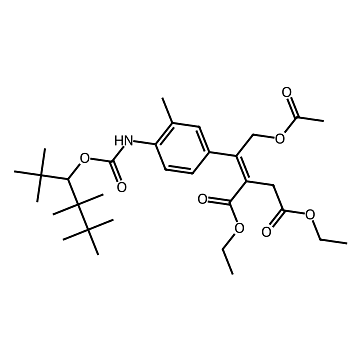 CCOC(=O)CC(C(=O)OCC)=C(COC(C)=O)c1ccc(NC(=O)OC(C(C)(C)C)C(C)(C)C(C)(C)C)c(C)c1